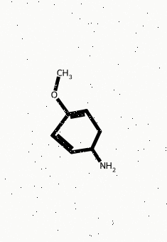 COC1=CCC(N)C=C1